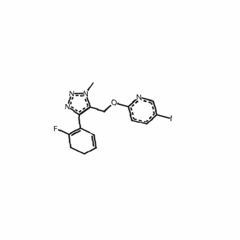 Cn1nnc(C2=C(F)CCC=C2)c1COc1ccc(I)cn1